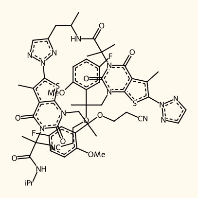 COc1ccc(F)cc1C(C)(Cn1c(=O)n(C(C)(C)C(=O)NC(C)C)c(=O)c2c(C)c(-n3ncc(CC(C)NC(=O)C(C)(C)n4c(=O)c5c(C)c(-n6nccn6)sc5n(CC(C)(OCCC#N)c5cc(F)ccc5OC)c4=O)n3)sc21)OCCC#N